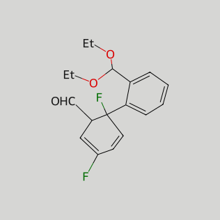 CCOC(OCC)c1ccccc1C1(F)C=CC(F)=CC1C=O